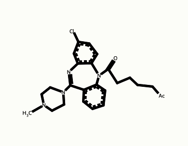 CC(=O)CCCCC(=O)N1c2ccc(Cl)cc2N=C(N2CCN(C)CC2)c2ccccc21